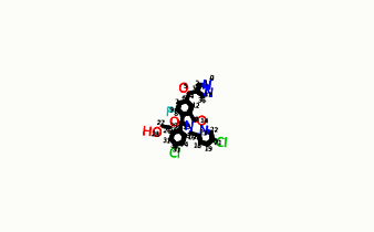 Cn1cc(C(=O)c2cc(F)c3c(c2)C(=O)N(Cc2ccc(Cl)cn2)C3(OCCO)c2ccc(Cl)cc2)cn1